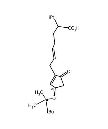 CC(C)C(CCC=CCC1=C[C@H](O[Si](C)(C)C(C)(C)C)CC1=O)C(=O)O